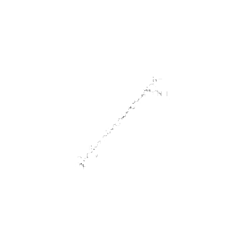 CCC(=O)N(C)CCC(=O)NCCOCCOCCOCCOCCOCCOCCN(CCN)CCN